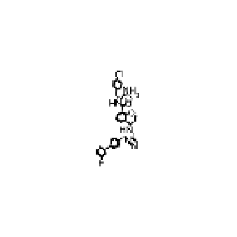 NC(=O)[C@H](Cc1ccc(Cl)cc1)NC(=O)c1cccc2c1OCCC2NCc1cncn1Cc1ccc(-c2cccc(F)c2)cc1